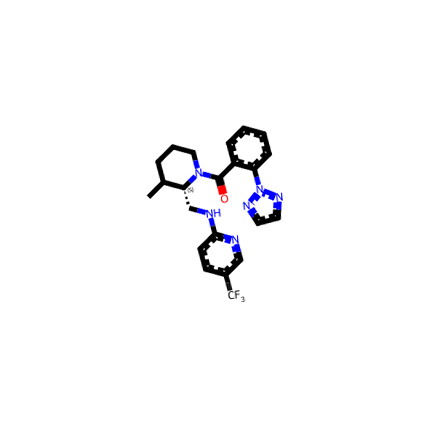 CC1CCCN(C(=O)c2ccccc2-n2nccn2)[C@@H]1CNc1ccc(C(F)(F)F)cn1